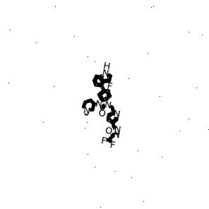 CN1CCC[C@@H](n2c(=O)n(Cc3ccc(-c4nnc(C(F)F)o4)cn3)c3cc(F)c(-c4cccc5[nH]ccc45)cc32)C1